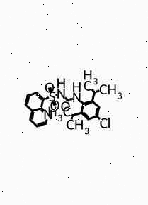 CC(C)c1cc(Cl)cc(C(C)C)c1NC(=O)NS(=O)(=O)c1cccc2cccnc12